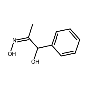 C/C(=N/O)C(O)c1ccccc1